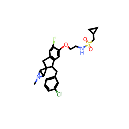 CN1C2C1C21Cc2cc(F)c(OCCNS(=O)(=O)CC3CC3)cc2C1Cc1cccc(Cl)c1